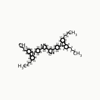 CCCCc1ccc2c(c1)c1cc(CCCC)ccc1n2-c1ccc(-c2cc(-c3ccnc(-c4ccc(-n5c6ccc(CCCC)cc6c6cc(CCCC)ccc65)cc4)c3)ccn2)cc1